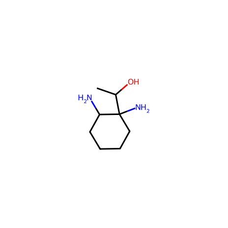 CC(O)C1(N)CCCCC1N